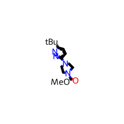 COC(=O)N1CCN(c2ccc(C(C)(C)C)nn2)CC1